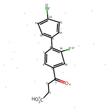 O=C(O)CCC(=O)c1ccc(-c2ccc(Br)cc2)c(F)c1